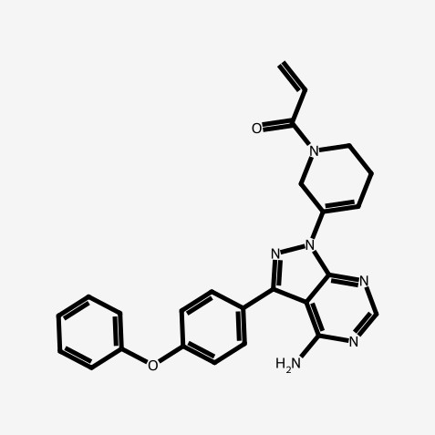 C=CC(=O)N1CCC=C(n2nc(-c3ccc(Oc4ccccc4)cc3)c3c(N)ncnc32)C1